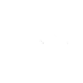 CC(C)=CC(C)SSC(C)(C)C